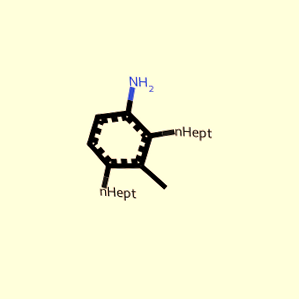 CCCCCCCc1ccc(N)c(CCCCCCC)c1C